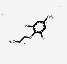 CCCOc1c(S)cc(C)cc1Br